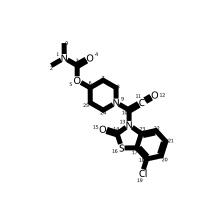 CN(C)C(=O)OC1CCN(C(=C=O)n2c(=O)sc3c(Cl)cccc32)CC1